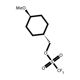 CO[C@H]1CC[C@H](COS(=O)(=O)C(F)(F)F)CC1